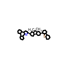 CC1(C)c2cc(-c3ccc4c5ccccc5c5ccccc5c4n3)ccc2-c2ccc(-c3cccc4c3sc3ccccc34)cc21